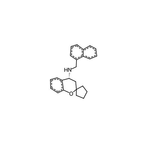 c1ccc2c(c1)OC1(CCCC1)C[C@H]2NCc1cccc2ccccc12